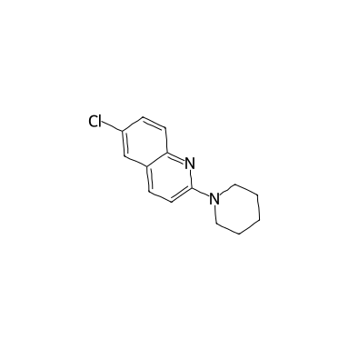 Clc1ccc2nc(N3CCCCC3)ccc2c1